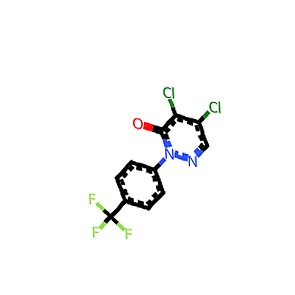 O=c1c(Cl)c(Cl)cnn1-c1ccc(C(F)(F)F)cc1